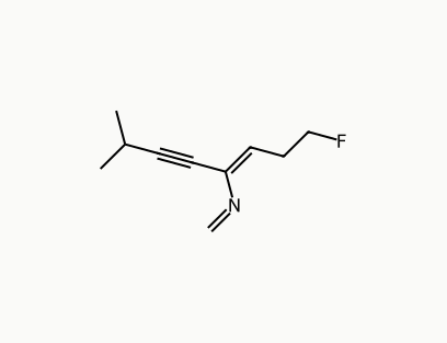 C=N/C(C#CC(C)C)=C\CCF